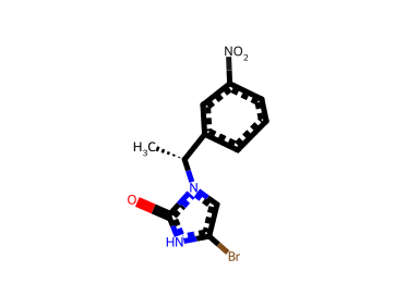 C[C@H](c1cccc([N+](=O)[O-])c1)n1cc(Br)[nH]c1=O